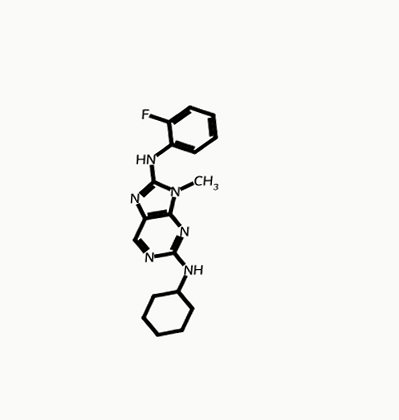 Cn1c(Nc2ccccc2F)nc2cnc(NC3CCCCC3)nc21